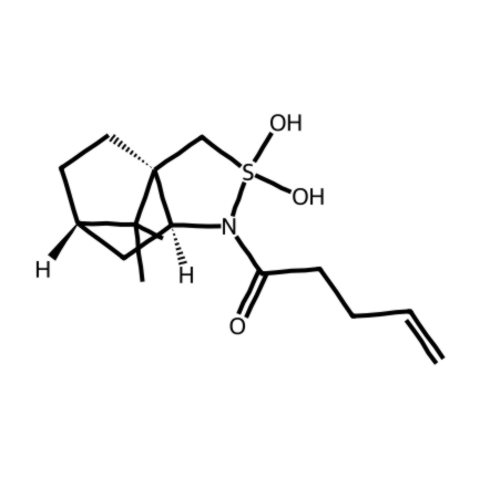 C=CCCC(=O)N1[C@H]2C[C@@H]3CC[C@@]2(CS1(O)O)C3(C)C